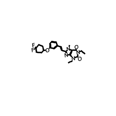 CCn1c(=O)c2c(nc(C=Cc3cccc(OC4CCC(F)(F)CC4)c3)n2C)n(CC)c1=O